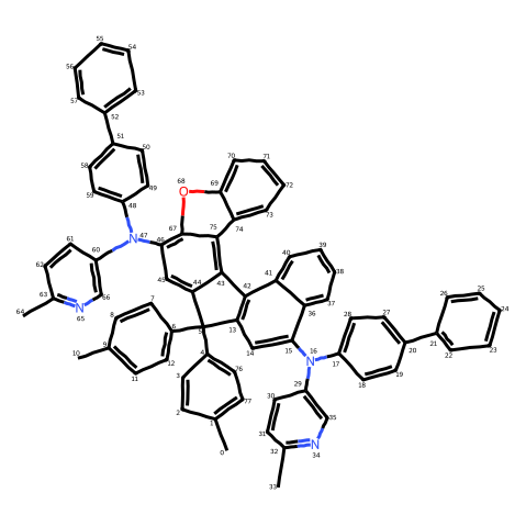 Cc1ccc(C2(c3ccc(C)cc3)c3cc(N(c4ccc(-c5ccccc5)cc4)c4ccc(C)nc4)c4ccccc4c3-c3c2cc(N(c2ccc(-c4ccccc4)cc2)c2ccc(C)nc2)c2oc4ccccc4c32)cc1